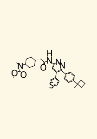 COC(=O)N(C)[C@H]1CC[C@H](CC(=O)Nc2cc(-c3ccsc3)c(-c3ccc(C4(C)CCC4)cc3)nn2)CC1